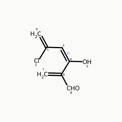 C=C(Cl)/C=C(/O)C(=C)C=O